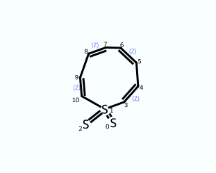 S=S1(=S)\C=C/C=C\C=C/C=C\1